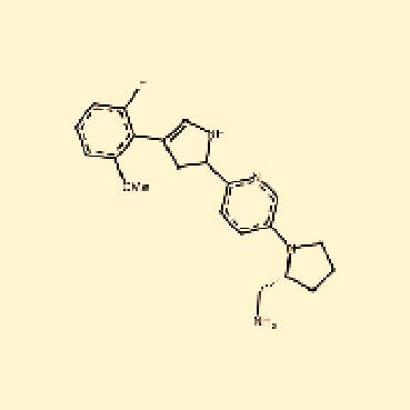 COc1cccc(F)c1C1=CNC(c2ccc(N3CCC[C@@H]3CN)cn2)C1